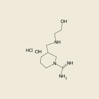 Cl.Cl.N=C(N)N1CCCC(CNCCO)C1